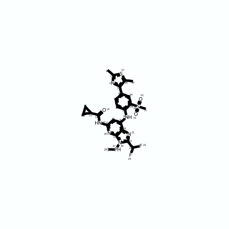 Cc1nc(-c2ccc(Nc3cc(NC(=O)C4CC4)nc4c3nc(C(F)F)n4PI)c(S(C)(=O)=O)c2)c(C)s1